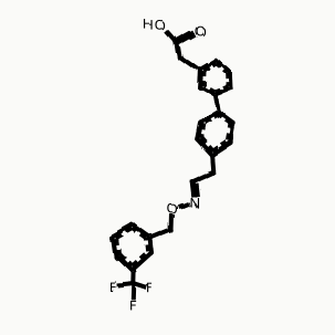 O=C(O)Cc1cccc(-c2ccc(CC=NOCc3cccc(C(F)(F)F)c3)cc2)c1